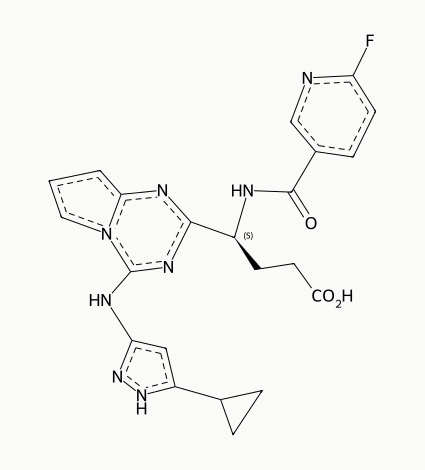 O=C(O)CC[C@H](NC(=O)c1ccc(F)nc1)c1nc(Nc2cc(C3CC3)[nH]n2)n2cccc2n1